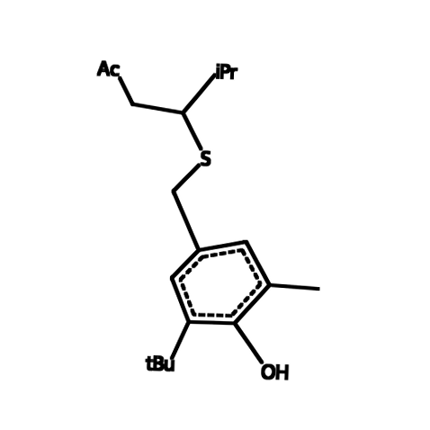 CC(=O)CC(SCc1cc(C)c(O)c(C(C)(C)C)c1)C(C)C